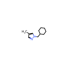 Cc1cnn(CC2CCCCC2)c1